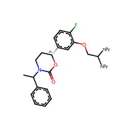 CCCC(CCC)COc1cc([C@H]2CCN(C(C)c3ccccc3)C(=O)O2)ccc1F